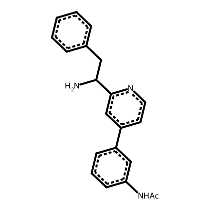 CC(=O)Nc1cccc(-c2ccnc(C(N)Cc3ccccc3)c2)c1